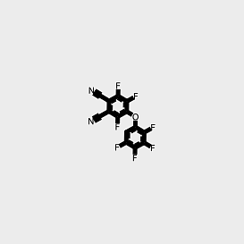 N#Cc1c(F)c(F)c(Oc2cc(F)c(F)c(F)c2F)c(F)c1C#N